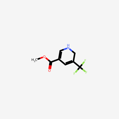 COC(=O)C1=CNCC(C(F)(F)F)=C1